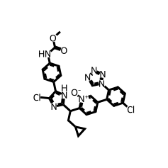 COC(=O)Nc1ccc(-c2[nH]c(C(CC3CC3)c3ccc(-c4cc(Cl)ccc4-n4cnnn4)c[n+]3[O-])nc2Cl)cc1